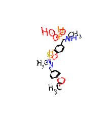 CNC(c1ccc(O[PH](=S)N(C)/N=C/c2ccc(OC)cc2)cc1)[PH](=O)OO